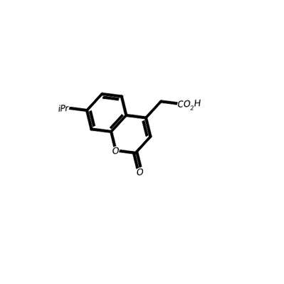 CC(C)c1ccc2c(CC(=O)O)cc(=O)oc2c1